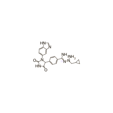 N/C(=N\N(N)CC1CC1)c1ccc(C2C(=O)NC(=O)N2c2ccc3[nH]cnc3c2)cc1